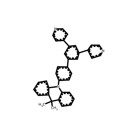 CC1(C)c2ccccc2N(c2ccc(-c3cc(-c4ccncc4)cc(-c4ccncc4)c3)cc2)c2ccccc21